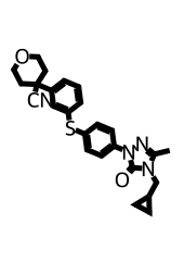 Cc1nn(-c2ccc(Sc3cccc(C4(C#N)CCOCC4)c3)cc2)c(=O)n1CC1CC1